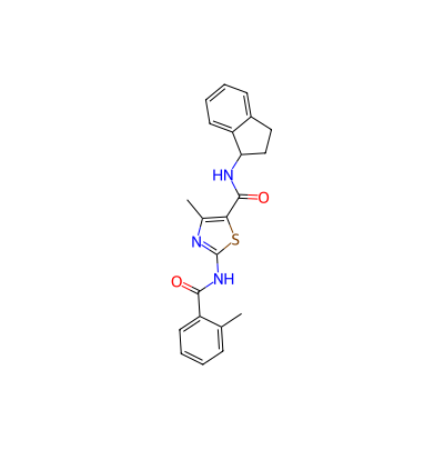 Cc1ccccc1C(=O)Nc1nc(C)c(C(=O)NC2CCc3ccccc32)s1